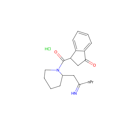 CCCC(=N)CC1CCCCN1C(=O)C1CC(=O)c2ccccc21.Cl